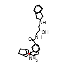 CC(=O)N1CC2CCC(C1)C2N(N)c1cccc(C(=O)NC[C@@H](O)CNC2Cc3ccccc3C2)c1